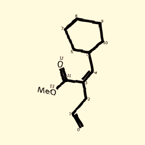 C=CCC(=CC1CCCCC1)C(=O)OC